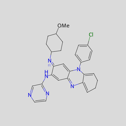 COC1CCC(/N=c2\cc3n(-c4ccc(Cl)cc4)c4c(nc-3cc2Nc2cnccn2)=CCCC=4)CC1